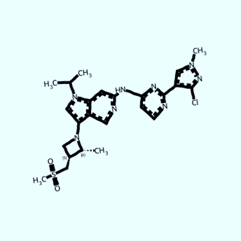 CC(C)n1cc(N2C[C@H](CS(C)(=O)=O)[C@H]2C)c2cnc(Nc3ccnc(-c4cn(C)nc4Cl)n3)cc21